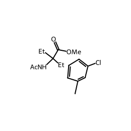 CCC(CC)(NC(C)=O)C(=O)OC.Cc1cccc(Cl)c1